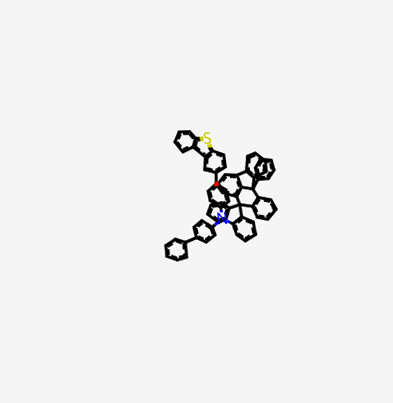 c1ccc(-c2ccc(N(c3ccc(-c4ccc5sc6ccccc6c5c4)cc3)c3ccccc3C3(c4ccccc4)c4ccccc4C4(c5ccccc5)c5ccccc5-c5cccc3c54)cc2)cc1